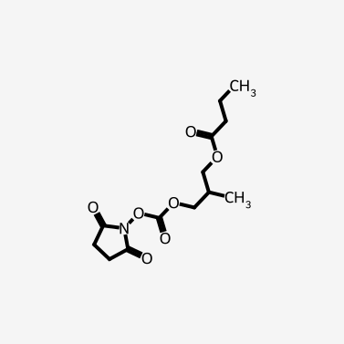 CCCC(=O)OCC(C)COC(=O)ON1C(=O)CCC1=O